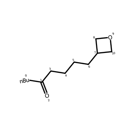 CCCCC(=O)CCCCC1COC1